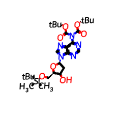 CC(C)(C)OC(=O)N(C(=O)OC(C)(C)C)c1ncnc2c1ncn2[C@H]1CC(O)[C@@H](CO[Si](C)(C)C(C)(C)C)O1